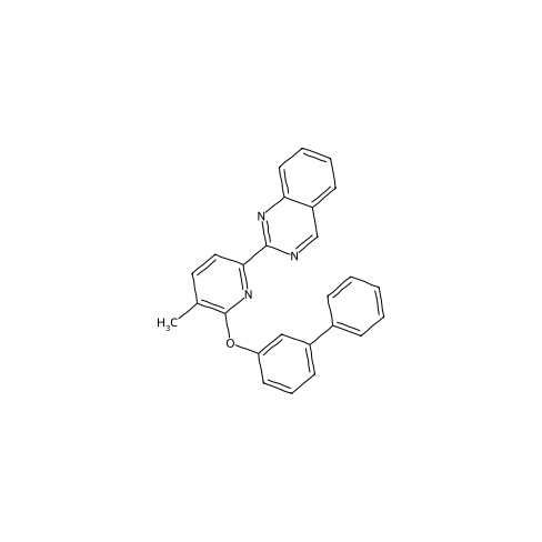 Cc1ccc(-c2ncc3ccccc3n2)nc1Oc1cccc(-c2ccccc2)c1